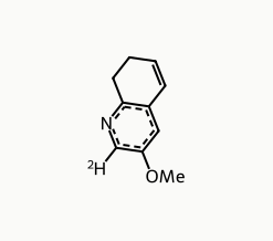 [2H]c1nc2c(cc1OC)C=CCC2